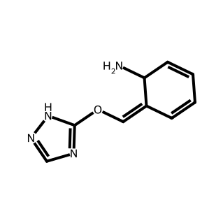 NC1C=CC=CC1=COc1ncn[nH]1